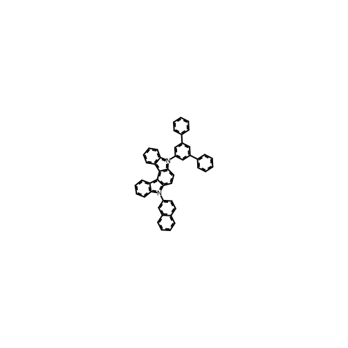 c1ccc(-c2cc(-c3ccccc3)cc(-n3c4ccccc4c4c5c6ccccc6n(-c6ccc7ccccc7c6)c5ccc43)c2)cc1